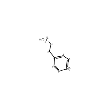 O=C(O)CCC1=CC=[N+]C=C1